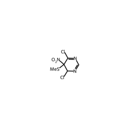 CSC1([N+](=O)[O-])C(Cl)=NC=NC1Cl